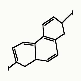 IC1=CC=C2C3=C(C=CC2C1)CC(I)C=C3